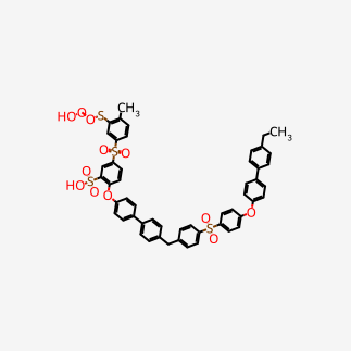 CCc1ccc(-c2ccc(Oc3ccc(S(=O)(=O)c4ccc(Cc5ccc(-c6ccc(Oc7ccc(S(=O)(=O)c8ccc(C)c(SOOO)c8)cc7S(=O)(=O)O)cc6)cc5)cc4)cc3)cc2)cc1